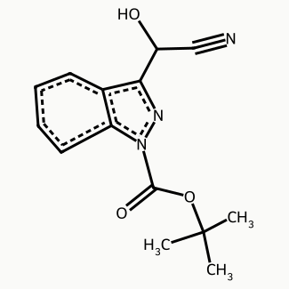 CC(C)(C)OC(=O)n1nc(C(O)C#N)c2ccccc21